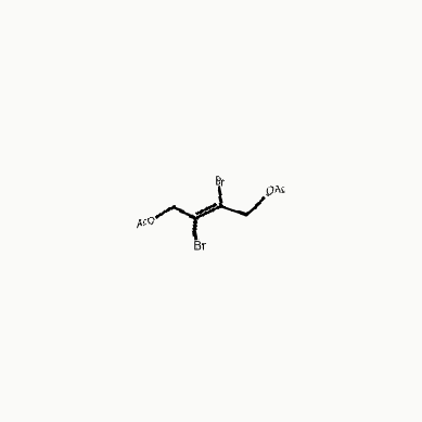 CC(=O)OCC(Br)=C(Br)COC(C)=O